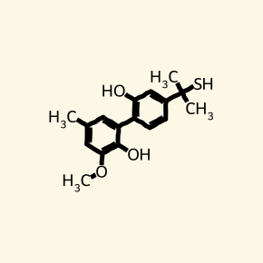 COc1cc(C)cc(-c2ccc(C(C)(C)S)cc2O)c1O